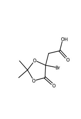 CC1(C)OC(=O)C(Br)(CC(=O)O)O1